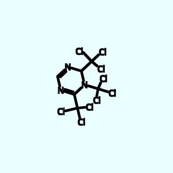 ClC(Cl)(Cl)C1=NC=NC(C(Cl)(Cl)Cl)N1C(Cl)(Cl)Cl